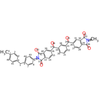 Cc1ccc(Cc2ccc(N3C(=O)c4ccc(C(=O)c5cccc(C(=O)c6ccc7c(c6)C(=O)N(C)C7=O)c5)cc4C3=O)cc2)cc1